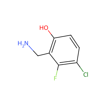 NCc1c(O)ccc(Cl)c1F